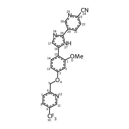 COc1cc(OCc2ccc(C(F)(F)F)cn2)ccc1-c1cnc(-c2ccc(C#N)nc2)[nH]1